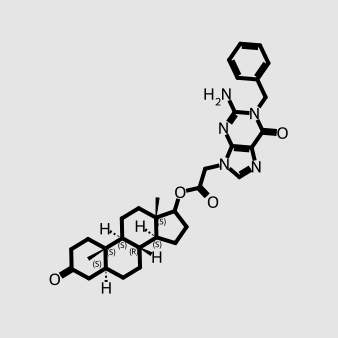 C[C@]12CCC(=O)C[C@@H]1CC[C@@H]1[C@@H]2CC[C@]2(C)C(OC(=O)Cn3cnc4c(=O)n(Cc5ccccc5)c(N)nc43)CC[C@@H]12